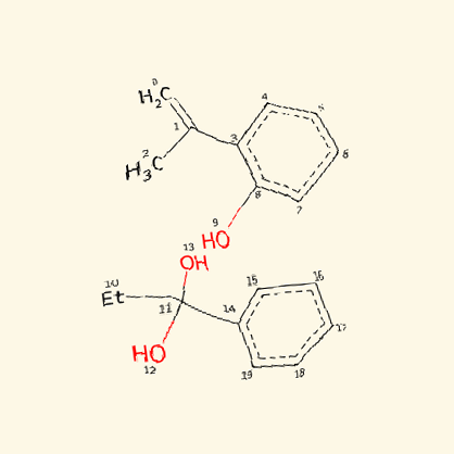 C=C(C)c1ccccc1O.CCC(O)(O)c1ccccc1